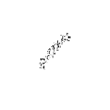 CC(COC1CCC(C2CCC(OCC3CC4CCCC43)CC2)CC1)CC1CCC1